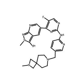 CC(C)c1c2cc(-c3nc(Nc4ccc(CN5CCC6(CC5)CN(C)C6)cn4)ncc3F)cnc2nn1C